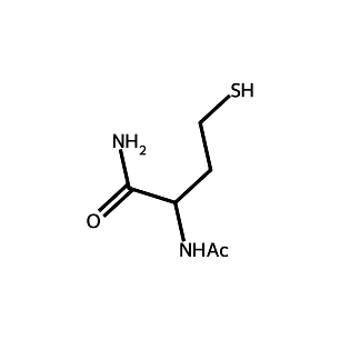 CC(=O)NC(CCS)C(N)=O